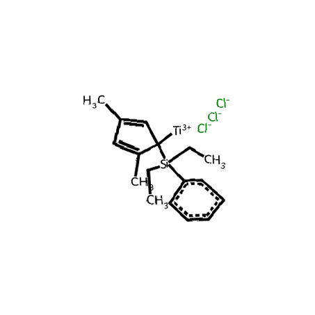 CC[Si](CC)(c1ccccc1)[C]1([Ti+3])C=C(C)C=C1C.[Cl-].[Cl-].[Cl-]